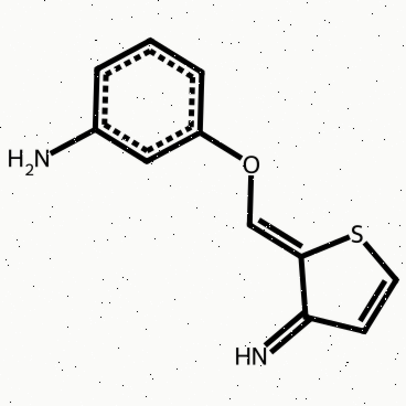 N=C1C=CS/C1=C\Oc1cccc(N)c1